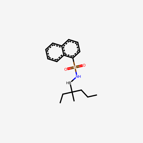 CCCC(C)(BNS(=O)(=O)c1cccc2ccccc12)CC